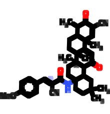 COc1ccc(/C=C(\C#N)C(=O)NC23CCC(C)(C)CC2C2C(=O)C=C4C5(C)C=C(C#N)C(=O)C(C)C5CCC4(C)[C@]2(C)CC3)cc1